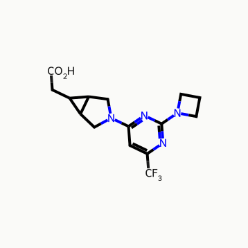 O=C(O)CC1C2CN(c3cc(C(F)(F)F)nc(N4CCC4)n3)CC12